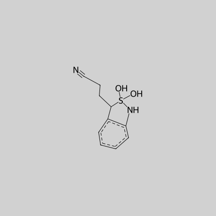 N#CCCC1c2ccccc2NS1(O)O